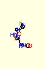 O=C(Nc1nc(C=Cc2cn(C3CCOCC3)cn2)cs1)c1cccn1Cc1ccnc(F)c1